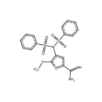 CSc1sc(C(=N)N)cc1N(S(=O)(=O)c1ccccc1)S(=O)(=O)c1ccccc1